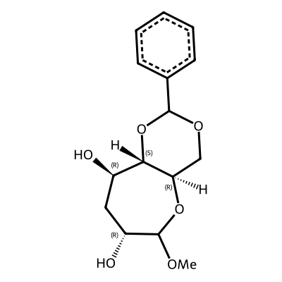 COC1O[C@@H]2COC(c3ccccc3)O[C@H]2[C@H](O)C[C@H]1O